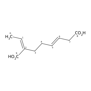 CC=C(CCC=CCC(=O)O)C(=O)O